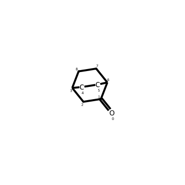 O=C1CC2CCC1CC2